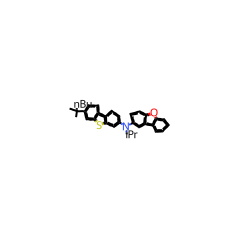 CCCCC(C)(C)c1ccc2c(c1)sc1cc(N(c3ccc4oc5ccccc5c4c3)C(C)C)ccc12